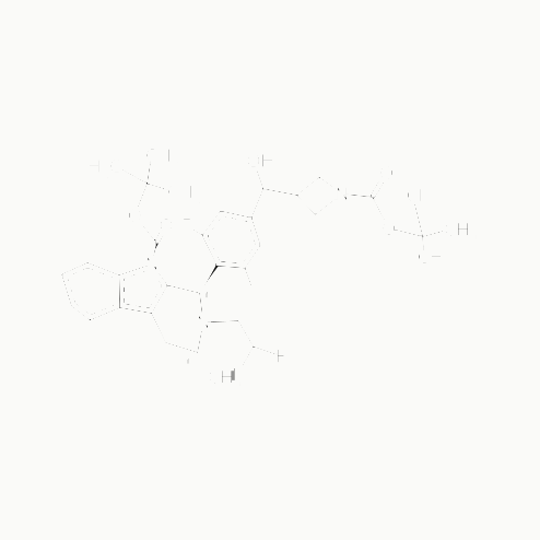 C[C@@H]1Cc2c(n(C(=O)OC(C)(C)C)c3ccccc23)[C@@H](c2c(F)cc(C(O)C3CN(C(=O)OC(C)(C)C)C3)cc2F)N1CC(F)F